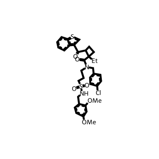 CCC1(C(=O)N(CCCS(=O)(=O)NCc2ccc(OC)cc2OC)Cc2ccc(Cl)cc2)CCC1C(=O)c1csc2ccccc12